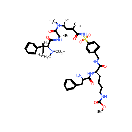 C/C(=C\[C@H](C(C)C)N(C)C(=O)[C@@H](NC(=O)[C@@H](N(C)C(=O)O)C(C)(C)c1ccccc1)C(C)(C)C)C(=O)NS(=O)(=O)c1ccc(CNC(=O)[C@@H](CCCCNC(=O)OC(C)(C)C)NC(=O)[C@H](N)Cc2ccccc2)cc1